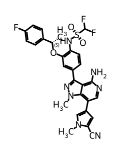 C[C@H](Oc1cc(-c2nn(C)c3c(-c4cc(C#N)n(C)c4)cnc(N)c23)ccc1NS(=O)(=O)C(F)F)c1ccc(F)cc1